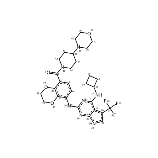 O=C(c1ccc(Nc2nc(NC3CCC3)c3c(C(F)(F)F)c[nH]c3n2)c2c1OCCO2)N1CCC(N2CCOCC2)CC1